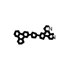 c1ccc2c(c1)c1ccccc1c1cc(-c3ccc(-c4ccc5c(c4)c4cccnc4c4cnccc54)cc3)ccc21